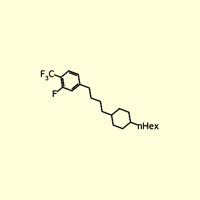 CCCCCCC1CCC(CCCCc2ccc(C(F)(F)F)c(F)c2)CC1